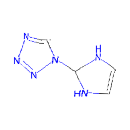 [c]1nnnn1C1NC=CN1